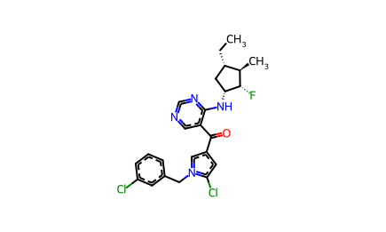 CC[C@H]1C[C@@H](Nc2ncncc2C(=O)c2cc(Cl)n(Cc3cccc(Cl)c3)c2)[C@@H](F)[C@@H]1C